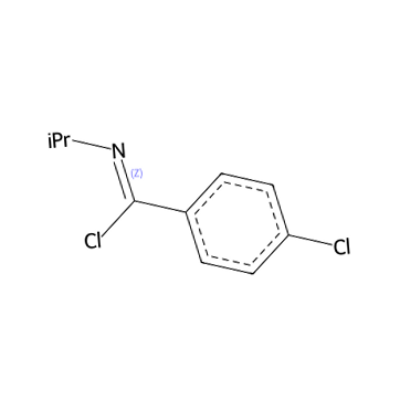 CC(C)/N=C(\Cl)c1ccc(Cl)cc1